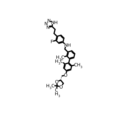 Cc1cc(OC[C@@H]2COC(C)(C)O2)cc(C)c1-c1cccc(CNc2ccc(CCc3nnn[nH]3)c(F)c2)c1C